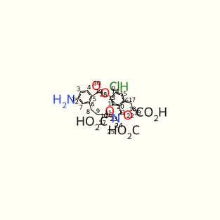 Cl.Nc1ccc2c(c1)CCCOc1c(ccc(CCC(=O)O)c1C(=O)N(CC(=O)O)CC(=O)O)OC2=O